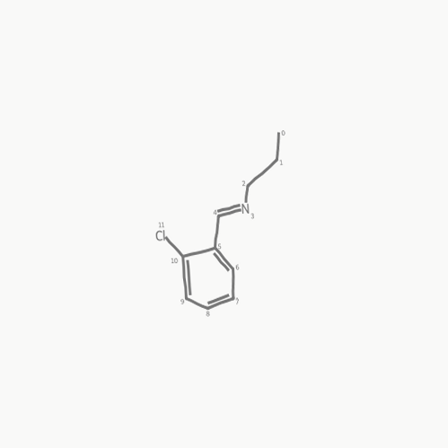 CCCN=Cc1c[c]ccc1Cl